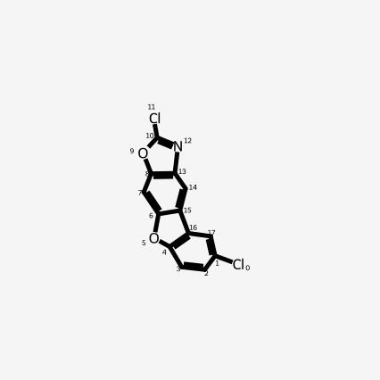 Clc1ccc2oc3cc4oc(Cl)nc4cc3c2c1